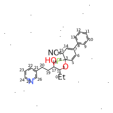 CC[C@H](OC1(F)C=CC(c2ccccc2)=CC1C#N)[C@H](O)CCc1cccnc1